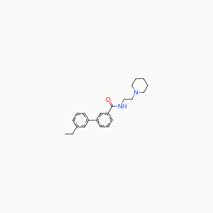 CCc1cccc(-c2cccc(C(=O)NCCN3CCCCC3)c2)c1